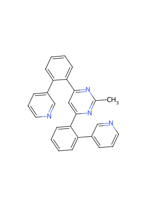 Cc1nc(-c2ccccc2-c2cccnc2)cc(-c2ccccc2-c2cccnc2)n1